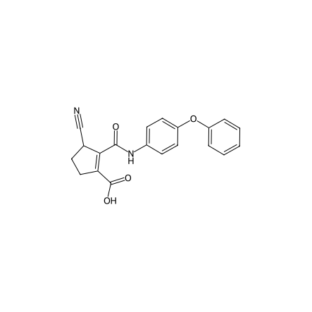 N#CC1CCC(C(=O)O)=C1C(=O)Nc1ccc(Oc2ccccc2)cc1